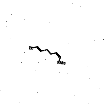 CC/C=C/CC/C=C\NC